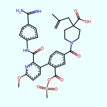 C=C(C)CC1(C(=O)O)CCN(C(=O)c2ccc(-c3ccc(OC)nc3C(=O)Nc3ccc(C(=N)N)cc3)c(C(=O)OS(C)(=O)=O)c2)CC1